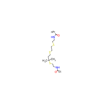 CCCC(=O)NCCSCCSCCC(C)(C)SCCNC(=O)CC